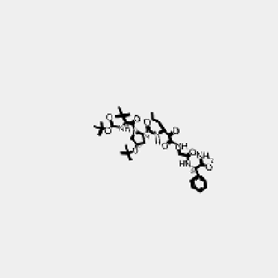 CCCC(NC(=O)[C@@H]1C[C@@H](OC(C)(C)C)CN1C(=O)[C@@H](NC(=O)OC(C)(C)C)C(C)(C)C)C(=O)C(=O)NCC(=O)N[C@H](C(N)=O)c1ccccc1